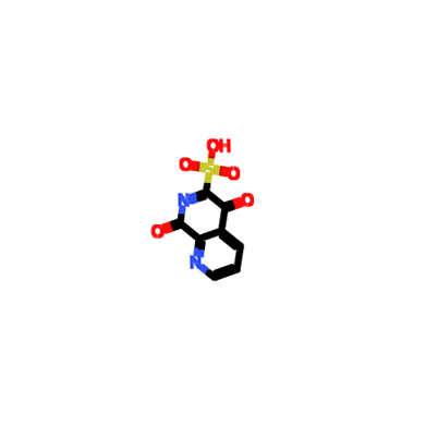 O=C1C(S(=O)(=O)O)=NC(=O)c2ncccc21